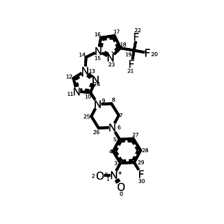 O=[N+]([O-])c1cc(N2CCN(c3ncn(Cn4ccc(C(F)(F)F)n4)n3)CC2)ccc1F